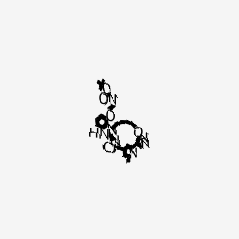 Cc1cc2cc(n1)-c1cnn(C)c1OCCCCCN1/C(=N/C2=O)Nc2cccc(OCCN(C)C(=O)OC(C)(C)C)c21